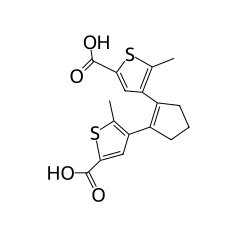 Cc1sc(C(=O)O)cc1C1=C(c2cc(C(=O)O)sc2C)CCC1